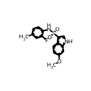 COc1ccc2c(S(=O)(=O)Nc3ccc(C)cc3F)c[nH]c2c1